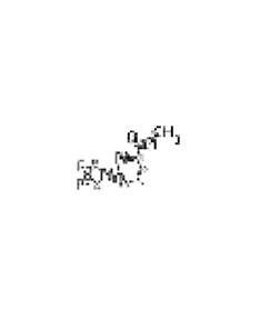 COC(=O)c1ccnc(N2CC(F)(F)C2)n1